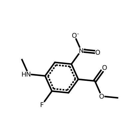 CNc1cc([N+](=O)[O-])c(C(=O)OC)cc1F